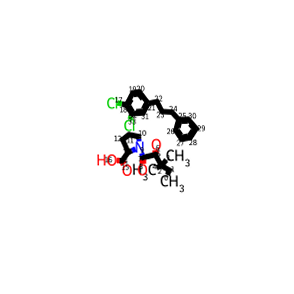 CCC(C)(C)C(=O)C(=O)N1CCCC1C(=O)O.Clc1ccc(CCCc2ccccc2)cc1Cl